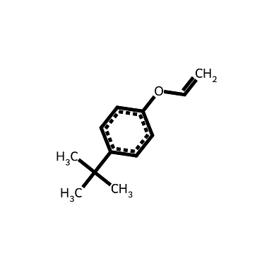 C=COc1ccc(C(C)(C)C)cc1